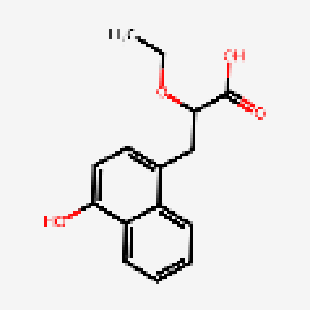 CCOC(Cc1ccc(O)c2ccccc12)C(=O)O